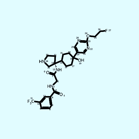 O=C(CNC(=O)c1cccc(C(F)(F)F)c1)N[C@@]1(C2CCC(O)(c3cnc(OCCF)nc3)CC2)CCNC1